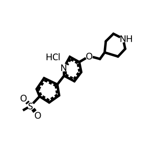 CS(=O)(=O)c1ccc(-c2ccc(OCC3CCNCC3)cn2)cc1.Cl